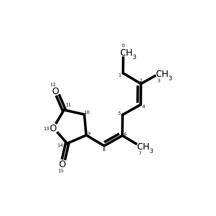 CCC(C)=CC/C(C)=C\C1CC(=O)OC1=O